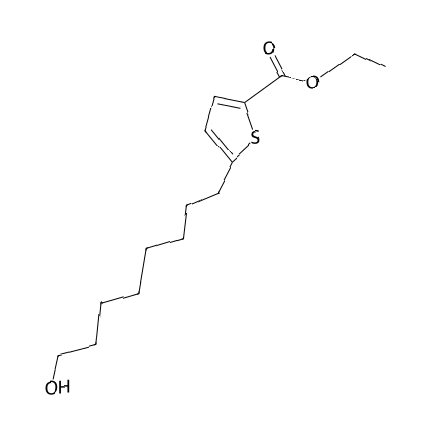 CCOC(=O)c1ccc(CCCCCCCCO)s1